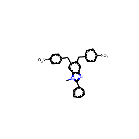 Cn1c(-c2ccccc2)nc2cc(Cc3ccc([N+](=O)[O-])cc3)c(Cc3ccc([N+](=O)[O-])cc3)cc21